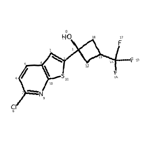 OC1(c2cc3ccc(Cl)nc3s2)CC(C(F)(F)F)C1